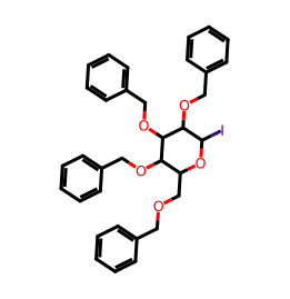 IC1OC(COCc2ccccc2)C(OCc2ccccc2)C(OCc2ccccc2)C1OCc1ccccc1